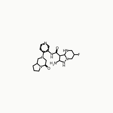 NC1NN2CC(F)CNC2C1C(=O)Nc1cnccc1N1CC(=O)N2CCCC2C1